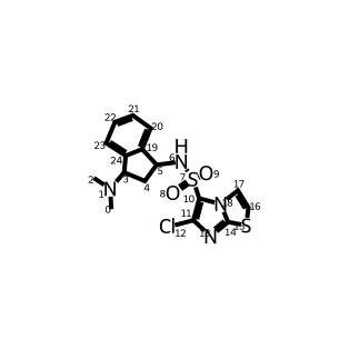 CN(C)C1CC(NS(=O)(=O)c2c(Cl)nc3sccn23)c2ccccc21